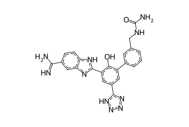 N=C(N)c1ccc2[nH]c(-c3cc(-c4nnn[nH]4)cc(-c4cccc(CNC(N)=O)c4)c3O)nc2c1